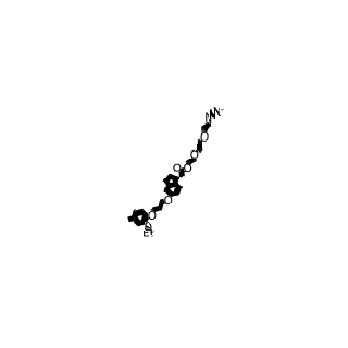 CCOc1cc(C)ccc1OCCCOc1ccc2c(c1)CC[C@H]2CC(=O)OCCOCCOCCN=[N+]=[N-]